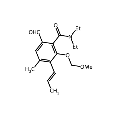 CC=Cc1c(C)cc(C=O)c(C(=O)N(CC)CC)c1OCOC